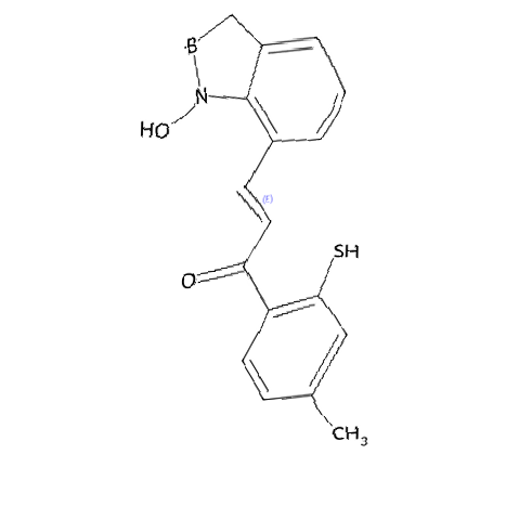 Cc1ccc(C(=O)/C=C/c2cccc3c2N(O)[B]C3)c(S)c1